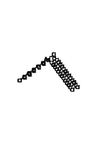 CC(=O)CC(Cl)Cl.ClCCl.ClCCl.ClCCl.ClCCl.ClCCl.ClCCl.ClCCl.ClCCl.ClCCl.ClCCl.ClCCl.ClCCl.ClCCl.ClCCl.ClCCl.ClCCl.ClCCl.ClCCl.ClCCl